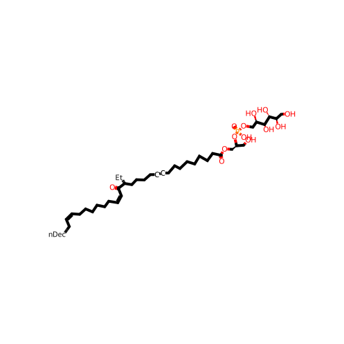 CCCCCCCCCCC/C=C\CCCCCC/C=C\C(=O)C(CC)CCCCCCCCCCCCCCC(=O)OC[C@H](CO)OP(=O)(O)OC[C@@H](O)[C@@H](O)[C@H](O)[C@H](O)CO